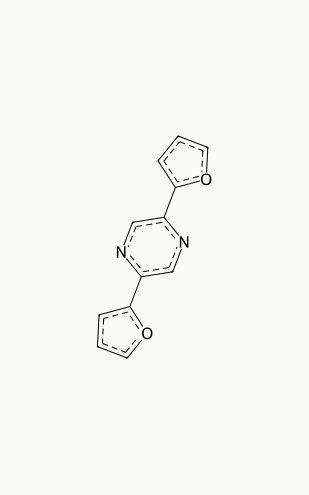 c1coc(-c2cnc(-c3ccco3)cn2)c1